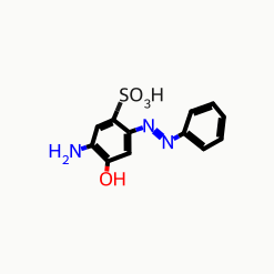 Nc1cc(S(=O)(=O)O)c(N=Nc2ccccc2)cc1O